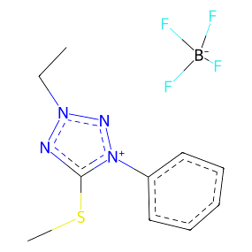 CCn1nc(SC)[n+](-c2ccccc2)n1.F[B-](F)(F)F